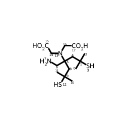 CC(C)(S)CC(CN)(CC(C)(C)S)N(CC(=O)O)CC(=O)O